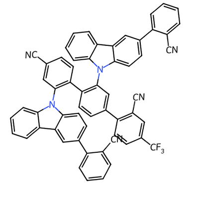 N#Cc1ccc(-c2ccc(-c3ccc(C(F)(F)F)cc3C#N)cc2-n2c3ccccc3c3cc(-c4ccccc4C#N)ccc32)c(-n2c3ccccc3c3cc(-c4ccccc4C#N)ccc32)c1